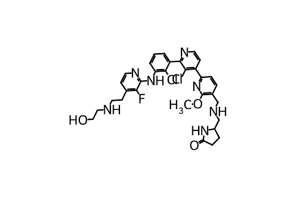 COc1nc(-c2ccnc(-c3cccc(Nc4nccc(CCNCCO)c4F)c3Cl)c2Cl)ccc1CNCC1CCC(=O)N1